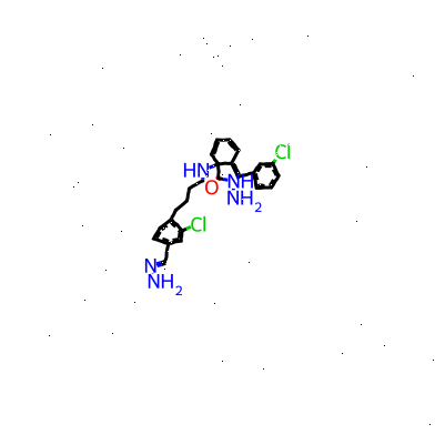 NN=Cc1ccc(CCCCNC2(C(=O)NN)C=CC=CC2=Cc2cccc(Cl)c2)c(Cl)c1